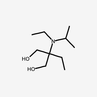 CCN(C(C)C)C(CC)(CO)CO